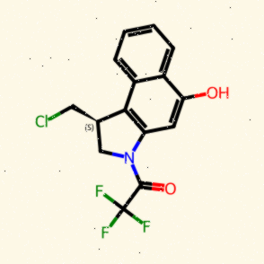 O=C(N1C[C@@H](CCl)c2c1cc(O)c1ccccc21)C(F)(F)F